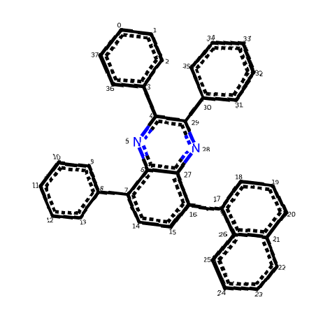 c1ccc(-c2nc3c(-c4ccccc4)ccc(-c4cccc5ccccc45)c3nc2-c2ccccc2)cc1